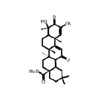 COC(=O)[C@]12CCC(C)(C)CC1C1C(=O)C=C3[C@@]4(C)C=C(C#N)C(=O)[C@@](C)(O)C4CC[C@@]3(C)[C@]1(C)CC2